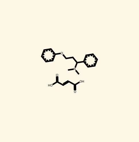 CN(C)C(CCOc1ccccc1)c1ccccc1.O=C(O)C=CC(=O)O